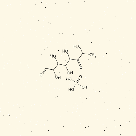 CC(C)C(=O)C(O)C(O)C(O)C(O)C=O.O=P(O)(O)O